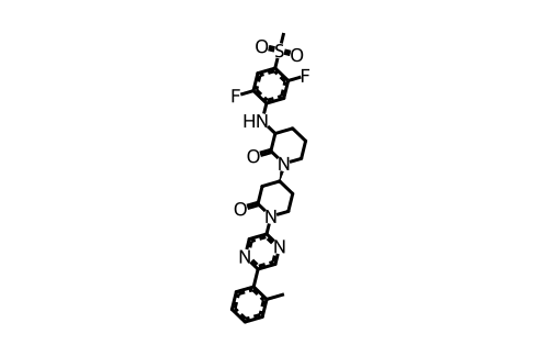 Cc1ccccc1-c1cnc(N2CC[C@H](N3CCCC(Nc4cc(F)c(S(C)(=O)=O)cc4F)C3=O)CC2=O)cn1